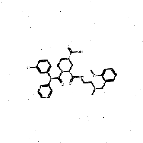 COc1ccccc1CN(C)CCNC(=O)[C@@H]1C[C@@H](C(=O)O)CCN1C(=O)N(c1ccccc1)c1cccc(Cl)c1